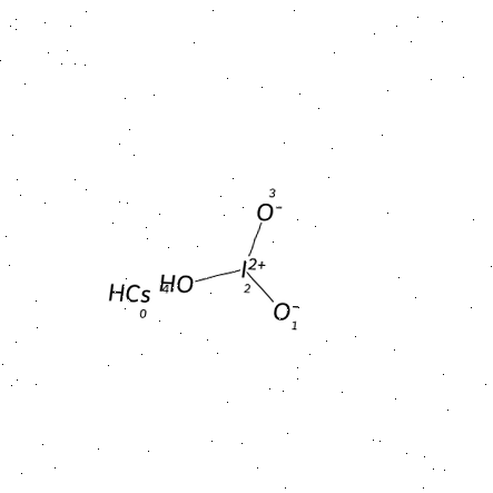 [CsH].[O-][I+2]([O-])O